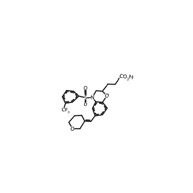 O=C(O)CCC1CN(S(=O)(=O)c2cccc(C(F)(F)F)c2)c2cc(C=C3CCCOC3)ccc2O1